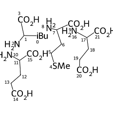 CCC(C)C(N)C(=O)O.CSCCC(N)C(=O)O.NC(CCC(=O)O)C(=O)O.NC(CCC(=O)O)C(=O)O